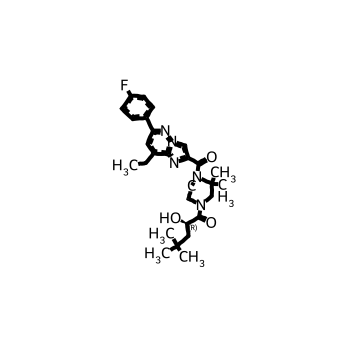 CCc1cc(-c2ccc(F)cc2)nn2cc(C(=O)N3CCN(C(=O)[C@H](O)CC(C)(C)C)CC3(C)C)nc12